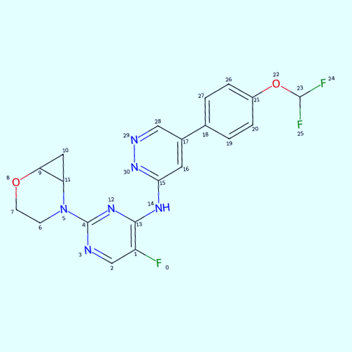 Fc1cnc(N2CCOC3CC32)nc1Nc1cc(-c2ccc(OC(F)F)cc2)cnn1